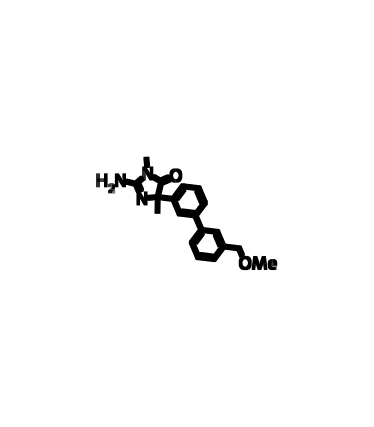 COCc1cccc(-c2cccc(C3(C)N=C(N)N(C)C3=O)c2)c1